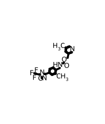 Cc1cncc(COC(=O)NCc2ccc(-c3noc(C(F)(F)F)n3)cc2C)c1